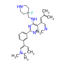 C=C/C(=C\N(C)C)c1cccc(-c2ncc(C(/C=N\C)=C/C(=C)C)c(NCC3(F)CCNCC3)n2)c1